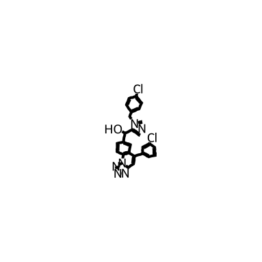 OC(c1ccc2c(c1)c(-c1cccc(Cl)c1)cc1nnnn12)c1cncn1Cc1ccc(Cl)cc1